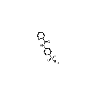 NS(=O)(=O)c1ccc(NC(=O)c2ccccn2)cc1